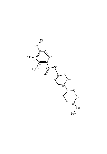 CCOc1ccc(C(=O)OC2CCC(C3CCC(OCC)CC3)OC2)c(C(F)(F)F)c1F